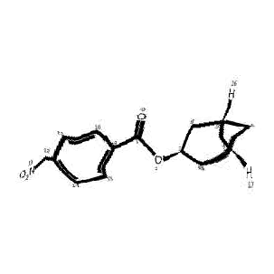 O=C(O[C@H]1C[C@@H]2C[C@@H]2C1)c1ccc([N+](=O)[O-])cc1